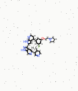 Cc1ccncc1-c1cc2c(-c3cc4c(-c5cc(F)cc(OCCN6CCCC6)c5)ccnc4[nH]3)n[nH]c2cn1